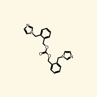 O=C(OCc1ccccc1Cn1ccnc1)OCc1ccccc1Cn1ccnc1